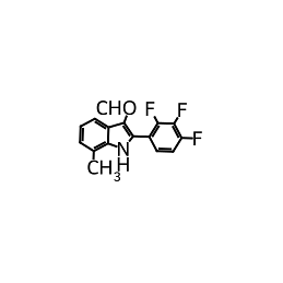 Cc1cccc2c(C=O)c(-c3ccc(F)c(F)c3F)[nH]c12